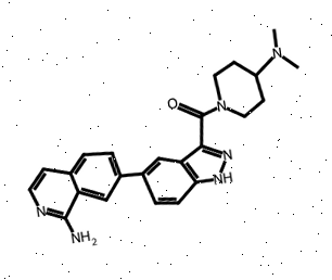 CN(C)C1CCN(C(=O)c2n[nH]c3ccc(-c4ccc5ccnc(N)c5c4)cc23)CC1